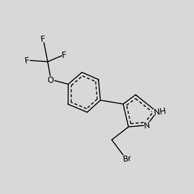 FC(F)(F)Oc1ccc(-c2c[nH]nc2CBr)cc1